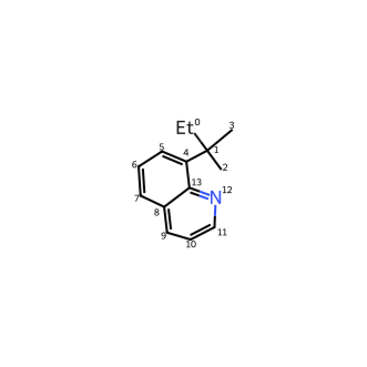 CCC(C)(C)c1cccc2cccnc12